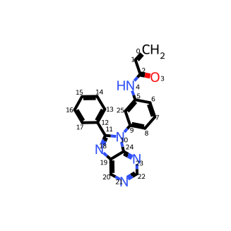 C=CC(=O)Nc1cccc(-n2c(-c3ccccc3)nc3cncnc32)c1